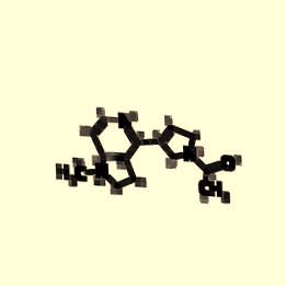 CC(=O)N1CC=C(c2nccc3c2CCN3C)C1